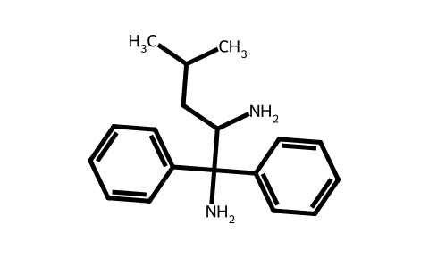 CC(C)CC(N)C(N)(c1ccccc1)c1ccccc1